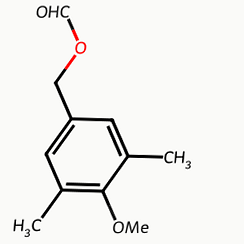 COc1c(C)cc(COC=O)cc1C